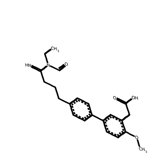 CCN(C=O)C(=N)CCCc1ccc(-c2ccc(OC)c(CC(=O)O)c2)cc1